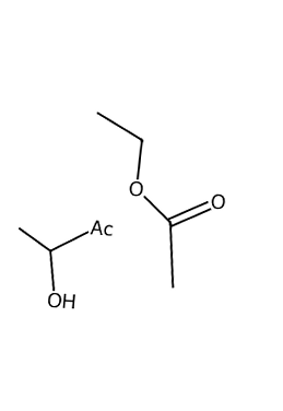 CC(=O)C(C)O.CCOC(C)=O